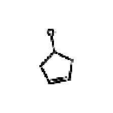 [O]C1CC=CC1